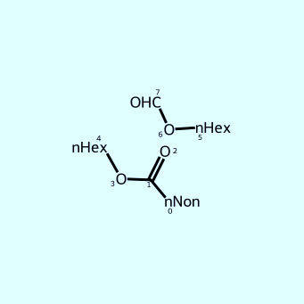 CCCCCCCCCC(=O)OCCCCCC.CCCCCCOC=O